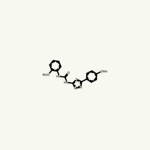 COc1ccc(-c2nnc(NC(=O)Nc3ccccc3OC)s2)cc1